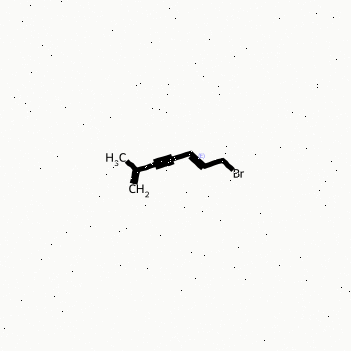 C=C(C)C#C/C=C/CBr